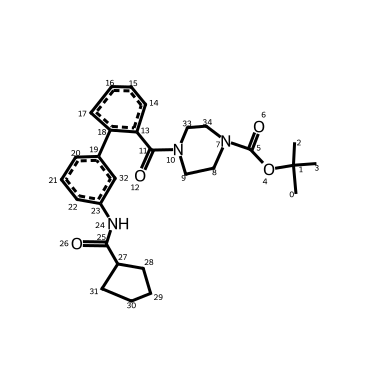 CC(C)(C)OC(=O)N1CCN(C(=O)c2ccccc2-c2cccc(NC(=O)C3CCCC3)c2)CC1